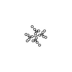 c1ccc(-c2ccc(N(c3ccccc3)c3ccc4c(-c5ccc(N(c6ccc7ccccc7c6)c6ccc7ccccc7c6)cc5)c5cc(N(c6ccccc6)c6ccc(-c7ccccc7)cc6)ccc5c(-c5ccc(N(c6ccc7ccccc7c6)c6ccc7ccccc7c6)cc5)c4c3)cc2)cc1